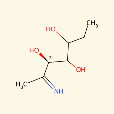 CCC(O)C(O)[C@H](O)C(C)=N